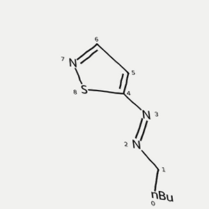 CCCCCN=Nc1ccns1